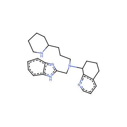 c1cnc2c(c1)CCCC2N(CCCC1CCCCN1)Cc1nc2ccccc2[nH]1